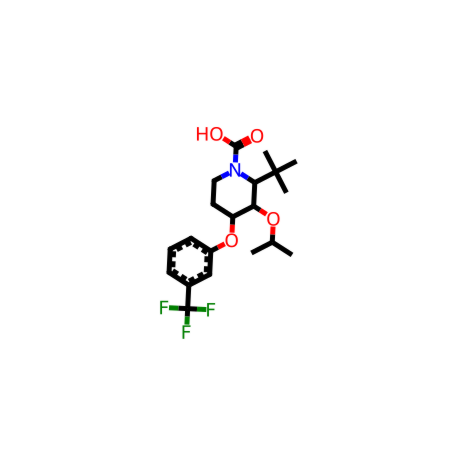 CC(C)OC1C(Oc2cccc(C(F)(F)F)c2)CCN(C(=O)O)C1C(C)(C)C